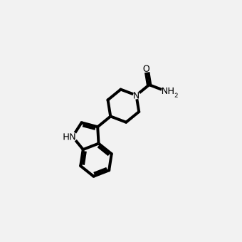 NC(=O)N1CCC(c2c[nH]c3ccccc23)CC1